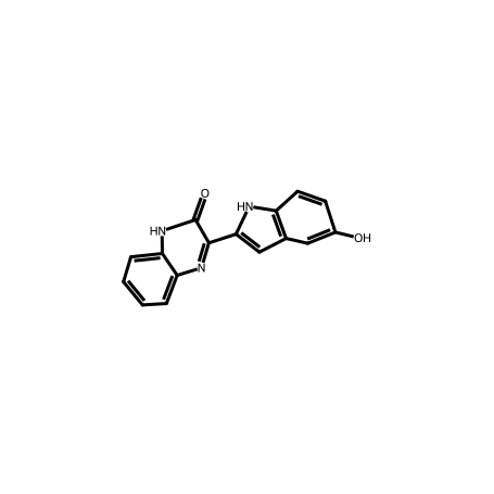 O=c1[nH]c2ccccc2nc1-c1cc2cc(O)ccc2[nH]1